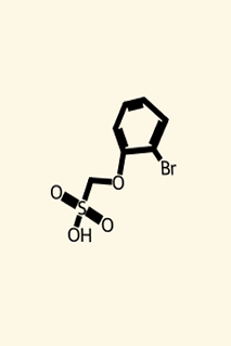 O=S(=O)(O)COc1ccccc1Br